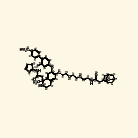 C[C@]1(CC(=O)Nc2nccs2)NCCc2cc(OCCOCCOCCNC(=O)CC34CC5CC(CC3C5)C4)c(Oc3ccc(-c4ccc(C(=O)O)cc4)c(F)c3)cc21